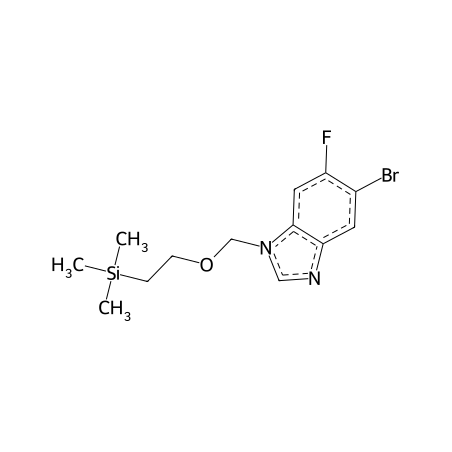 C[Si](C)(C)CCOCn1cnc2cc(Br)c(F)cc21